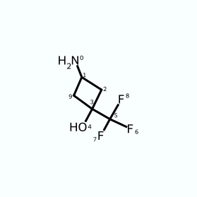 NC1CC(O)(C(F)(F)F)C1